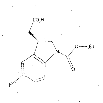 CC(C)(C)OC(=O)N1C[C@H](CC(=O)O)c2cc(F)ccc21